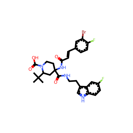 CC(C)(C)C1CC(NC(=O)C=Cc2ccc(F)c(Br)c2)(C(=O)NCCc2c[nH]c3ccc(F)cc23)CCN1C(=O)O